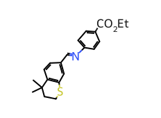 CCOC(=O)c1ccc(N=Cc2ccc3c(c2)SCCC3(C)C)cc1